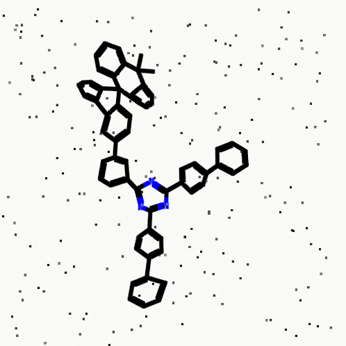 CC1(C)c2ccccc2C2(c3ccccc3-c3cc(-c4cccc(-c5nc(-c6ccc(-c7ccccc7)cc6)nc(-c6ccc(-c7ccccc7)cc6)n5)c4)ccc32)c2ccccc21